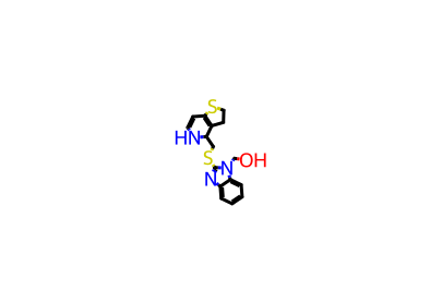 OCn1c(SCC2NC=CC3=C2CCS3)nc2ccccc21